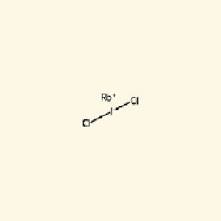 Cl[I-]Cl.[Rb+]